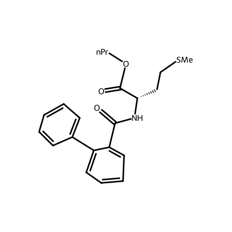 CCCOC(=O)[C@H](CCSC)NC(=O)c1ccccc1-c1ccccc1